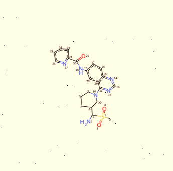 CS(=O)(=O)C(N)C1CCCN(c2ncnc3ccc(NC(=O)c4ccccn4)cc23)C1